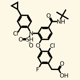 CC(C)(C)NC(=O)c1ccc(Oc2cc(F)c(CC(=O)O)cc2Cl)c(N(c2ccc(C3CC3)cc2Cl)[SH](=O)=O)c1